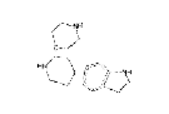 C1CCNCC1.C1COCCN1.c1ccc2c(c1)CCN2